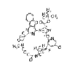 C[C@H]1CN2CC[C@]1(F)c1cc(Cl)cnc1O[C@H]1C[C@@H](C(=O)OC(C)(C)C)N(C1)c1nc(nc3c1oc1ccccc13)C(F)(F)C(=O)N(C)CCCC2=O